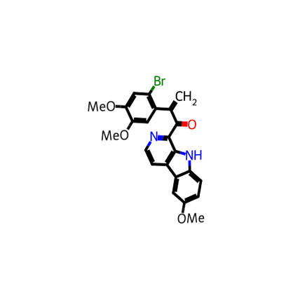 C=C(C(=O)c1nccc2c1[nH]c1ccc(OC)cc12)c1cc(OC)c(OC)cc1Br